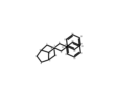 [CH](CC1C2CCC1CN(Cc1ccccc1)C2)c1ccccc1